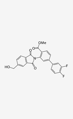 COC(=O)c1ccc(-c2ccc(F)c(F)c2)cc1N1C(=O)c2ccc(CO)cc2C1=O